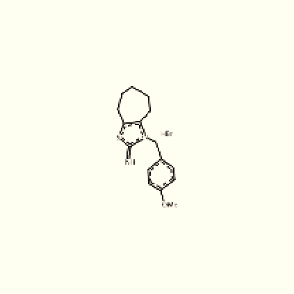 Br.COc1ccc(Cn2c3c(sc2=N)CCCCC3)cc1